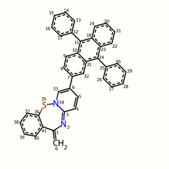 C=C1N=C2C=CC(c3ccc4c(-c5ccccc5)c5ccccc5c(-c5ccccc5)c4c3)=CN2Sc2ccccc21